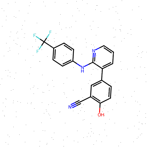 N#Cc1cc(-c2cccnc2Nc2ccc(C(F)(F)F)cc2)ccc1O